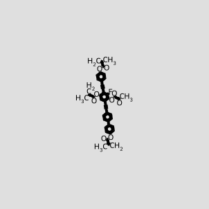 C=C(C)C(=O)Oc1ccc(C#Cc2c(OC(=O)C(=C)C)cc(C#Cc3ccc(-c4ccc(OC(=O)C(=C)C)cc4)cc3)c(OC(=O)C(C)=O)c2F)cc1